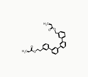 C=CC(=O)OCCc1cccc(-c2cccc(-c3cccc(-c4cccc(COC(=O)C=C)c4)c3)c2)c1